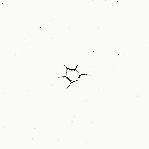 Bc1cc(C)c(C)c(S)c1I